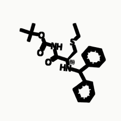 CCSC[C@@H](NC(c1ccccc1)c1ccccc1)C(=O)NC(=O)OC(C)(C)C